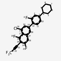 Fc1cc(C2CCCCC2)ccc1-c1cc(Cl)c2c(F)c(C#CC(F)(F)F)c(F)cc2c1